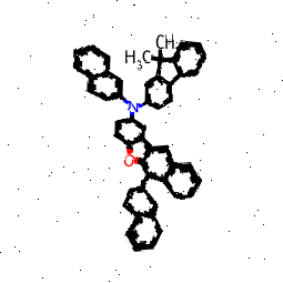 CC1(C)c2ccccc2-c2ccc(N(c3ccc4ccccc4c3)c3ccc4oc5c(-c6ccc7ccccc7c6)c6ccccc6cc5c4c3)cc21